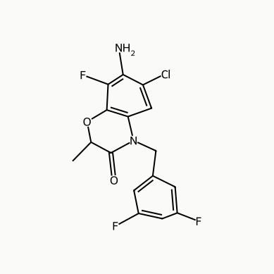 CC1Oc2c(cc(Cl)c(N)c2F)N(Cc2cc(F)cc(F)c2)C1=O